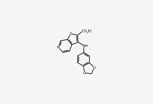 CCOC(=O)c1oc2cnccc2c1Nc1ccc2c(c1)OCO2